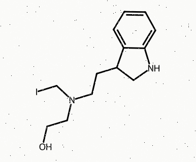 OCCN(CI)CCC1CNc2ccccc21